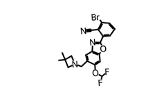 CC1(C)CN(Cc2cc3nc(-c4cccc(Br)c4C#N)oc3cc2OC(F)F)C1